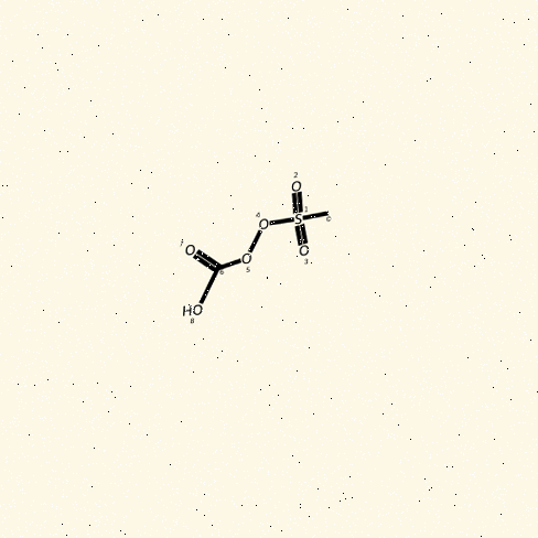 CS(=O)(=O)OOC(=O)O